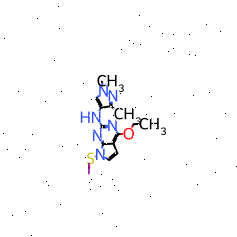 CCOc1nc(Nc2cn(C)nc2C)nc2c1ccn2SI